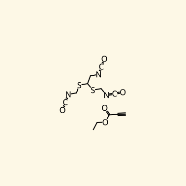 C#CC(=O)OCC.O=C=NCSC(CN=C=O)SCN=C=O